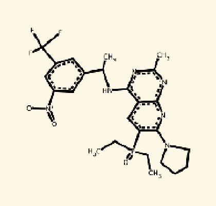 CCP(=O)(CC)c1cc2c(N[C@H](C)c3cc([N+](=O)[O-])cc(C(F)(F)F)c3)nc(C)nc2nc1N1CCCC1